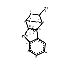 OC1OC2CCC1[C@]13CCO[C@]21Nc1ccccc13